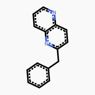 c1ccc(Cc2ccc3ncccc3n2)cc1